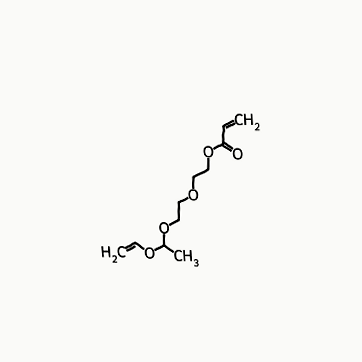 C=COC(C)OCCOCCOC(=O)C=C